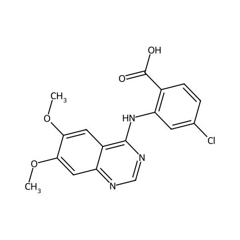 COc1cc2ncnc(Nc3cc(Cl)ccc3C(=O)O)c2cc1OC